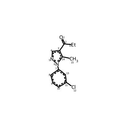 CCC(=O)c1cnn(-c2cccc(Cl)c2)c1C